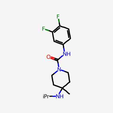 CC(C)NC1(C)CCN(C(=O)Nc2ccc(F)c(F)c2)CC1